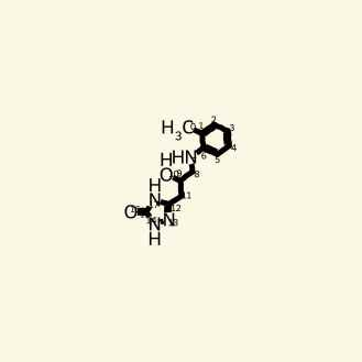 Cc1ccccc1NCC(O)Cc1n[nH]c(=O)[nH]1